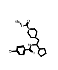 CC(C)(C)OC(=O)N1CCC(CC(NC(=O)c2ccc(Cl)cc2)C2CCCC2)CC1